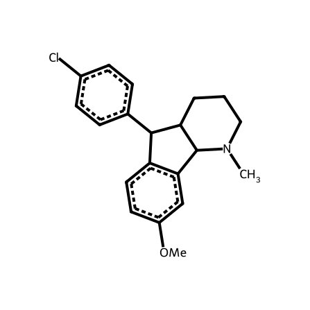 COc1ccc2c(c1)C1C(CCCN1C)C2c1ccc(Cl)cc1